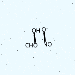 O=CO.O=[NH+][O-]